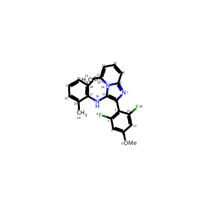 COc1cc(F)c(-c2nc3cccc(C)n3c2Nc2c(C)cccc2C)c(F)c1